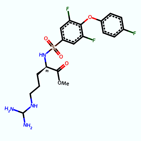 COC(=O)[C@@H](CCCNC(N)N)NS(=O)(=O)c1cc(F)c(Oc2ccc(F)cc2)c(F)c1